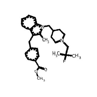 COC(=O)c1ccc(Cc2c(C)n(CC3CCN(CC(C)(C)F)CC3)c3ccccc23)cc1